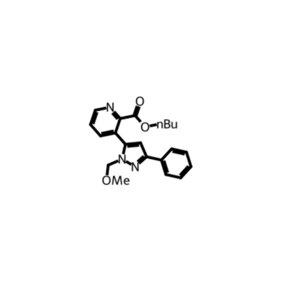 CCCCOC(=O)c1ncccc1-c1cc(-c2ccccc2)nn1COC